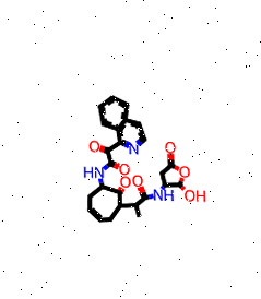 CC(C(=O)NC1CC(=O)OC1O)C1CC=CCC(NC(=O)C(=O)c2nccc3ccccc23)C1=O